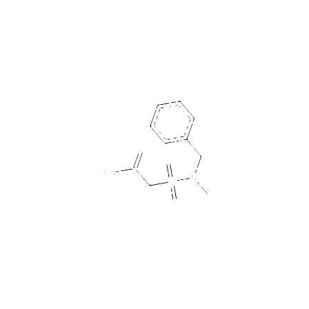 CN(Cc1ccccc1)S(=O)(=O)CC(N)=O